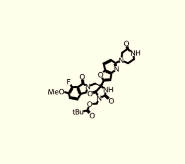 COc1ccc2c(c1F)C(=O)N(C[C@@]1(c3cc4nc(N5CCNC(=O)C5)ccc4o3)NC(=O)N(COC(=O)C(C)(C)C)C1=O)C2